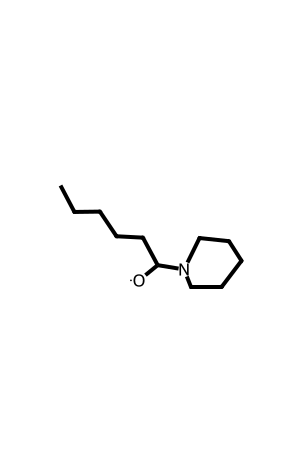 CCCCCC([O])N1CCCCC1